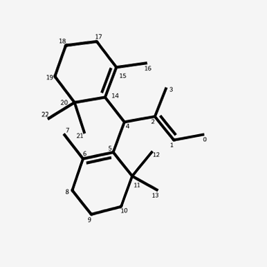 CC=C(C)C(C1=C(C)CCCC1(C)C)C1=C(C)CCCC1(C)C